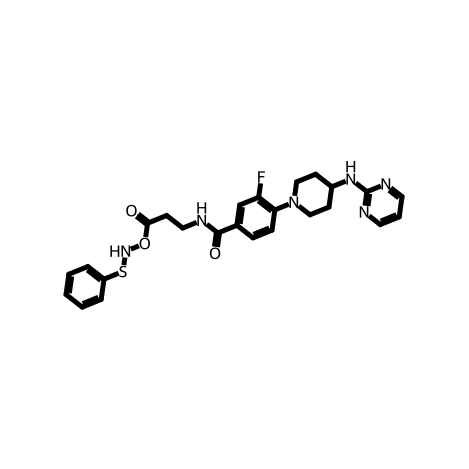 O=C(CCNC(=O)c1ccc(N2CCC(Nc3ncccn3)CC2)c(F)c1)ONSc1ccccc1